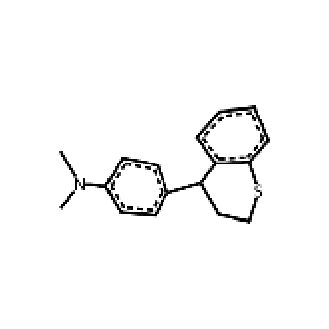 CN(C)c1ccc(C2CCSc3ccccc32)cc1